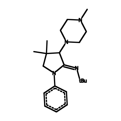 CN1CCN(C2C(=NC(C)(C)C)N(c3ccccc3)CC2(C)C)CC1